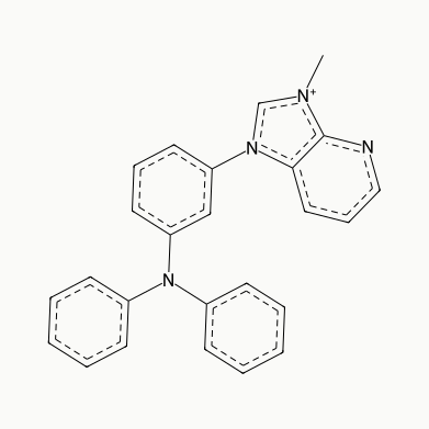 C[n+]1cn(-c2cccc(N(c3ccccc3)c3ccccc3)c2)c2cccnc21